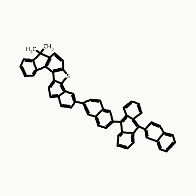 CC1(C)c2ccccc2-c2c1ccc1sc3c4cc(-c5ccc6cc(-c7c8ccccc8c(-c8ccc9ccccc9c8)c8ccccc78)ccc6c5)ccc4ccc3c21